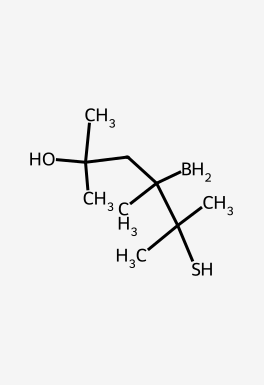 BC(C)(CC(C)(C)O)C(C)(C)S